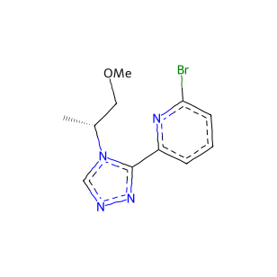 COC[C@@H](C)n1cnnc1-c1cccc(Br)n1